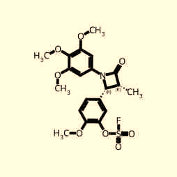 COc1ccc([C@H]2[C@@H](C)C(=O)N2c2cc(OC)c(OC)c(OC)c2)cc1OS(=O)(=O)F